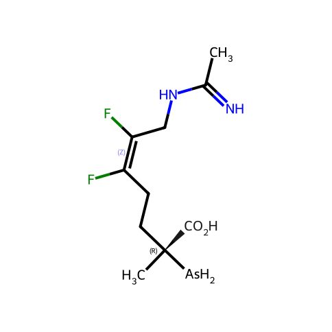 CC(=N)NC/C(F)=C(/F)CC[C@@](C)([AsH2])C(=O)O